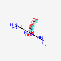 N=C(N)NCCCCCCCCNC(=O)C(O)C(=O)NCCCCNCCCN.O=C(O)C(F)(F)F.O=C(O)C(F)(F)F.O=C(O)C(F)(F)F